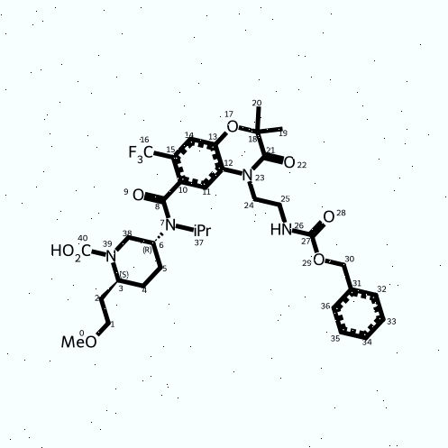 COCC[C@@H]1CC[C@@H](N(C(=O)c2cc3c(cc2C(F)(F)F)OC(C)(C)C(=O)N3CCNC(=O)OCc2ccccc2)C(C)C)CN1C(=O)O